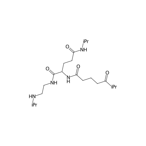 CC(C)NCCNC(=O)C(CCC(=O)NC(C)C)NC(=O)CCCC(=O)C(C)C